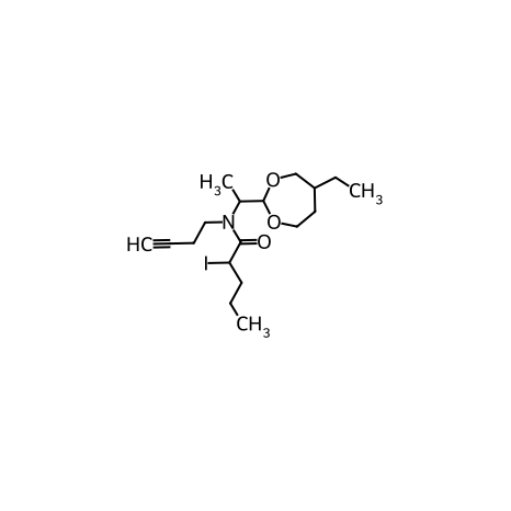 C#CCCN(C(=O)C(I)CCC)C(C)C1OCCC(CC)CO1